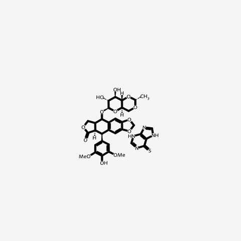 COc1cc([C@@H]2c3cc4c(cc3C(O[C@@H]3O[C@@H]5CO[C@@H](C)O[C@H]5[C@H](O)[C@H]3O)C3COC(=O)[C@@H]32)OCO4)cc(OC)c1O.S=c1nc[nH]c2nc[nH]c12